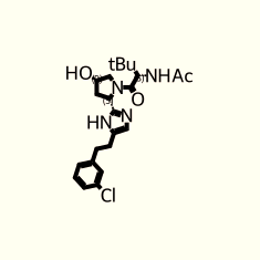 CC(=O)N[C@H](C(=O)N1C[C@H](O)C[C@H]1c1ncc(CCc2cccc(Cl)c2)[nH]1)C(C)(C)C